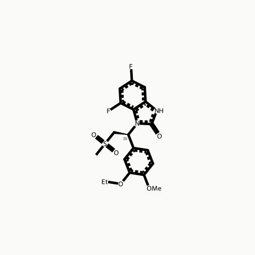 CCOc1cc([C@@H](CS(C)(=O)=O)n2c(=O)[nH]c3cc(F)cc(F)c32)ccc1OC